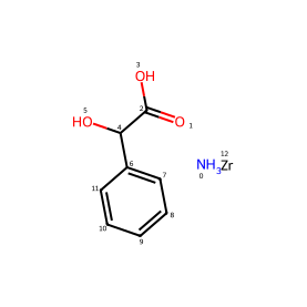 N.O=C(O)C(O)c1ccccc1.[Zr]